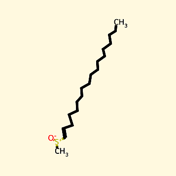 CCCCCCCCCCCCCCCCC=C[S+](C)[O-]